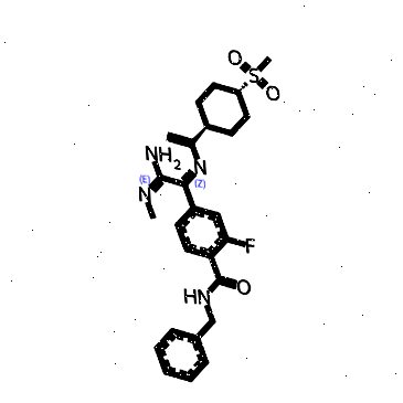 C=C(/N=C(\C(N)=N/C)c1ccc(C(=O)NCc2ccccc2)c(F)c1)[C@H]1CC[C@H](S(C)(=O)=O)CC1